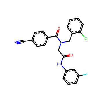 N#Cc1ccc(C(=O)N(CC(=O)Nc2cccc(F)c2)Cc2ccccc2Cl)cc1